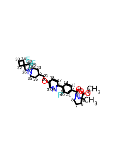 COC(=O)C1(C)CCCN1C(=O)c1ccc(-c2ccc(OCC3CCN(CC4(C(F)(F)F)CCC4)CC3)cn2)c(F)c1